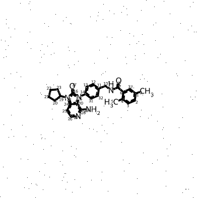 Cc1ccc(C)c(C(=O)NCc2ccc(-n3c(=O)n(C4CCCC4)c4ccnc(N)c43)cc2)c1